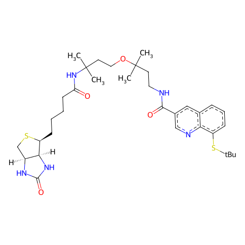 CC(C)(CCOC(C)(C)CCNC(=O)c1cnc2c(SC(C)(C)C)cccc2c1)NC(=O)CCCC[C@@H]1SC[C@@H]2NC(=O)N[C@@H]21